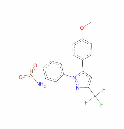 COc1ccc(-c2cc(C(F)(F)F)nn2-c2ccccc2)cc1.N[SH](=O)=O